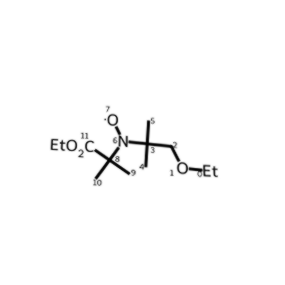 CCOCC(C)(C)N([O])C(C)(C)C(=O)OCC